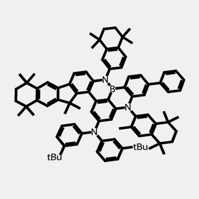 Cc1cc2c(cc1N1c3cc(-c4ccccc4)ccc3B3c4c(cc(N(c5cccc(C(C)(C)C)c5)c5cccc(C(C)(C)C)c5)cc41)-c1c(ccc4c1C(C)(C)c1cc5c(cc1-4)C(C)(C)CCC5(C)C)N3c1ccc3c(c1)C(C)(C)CCC3(C)C)C(C)(C)CCC2(C)C